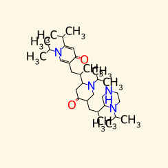 CC(C)c1cc(=O)c(CC(C)C2CC(=O)C(CC(C)C3CNCCN3C(C)C)CN2C(C)C)cn1C(C)C